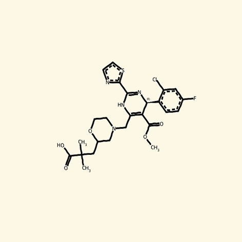 COC(=O)C1=C(CN2CCOC(CC(C)(C)C(=O)O)C2)NC(c2nccs2)=N[C@H]1c1ccc(F)cc1Cl